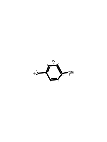 CC(C)(C)c1ccc(O)cc1.[S]